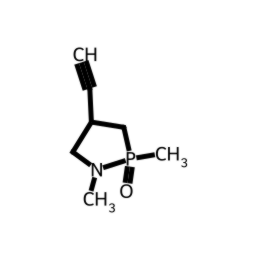 C#CC1CN(C)P(C)(=O)C1